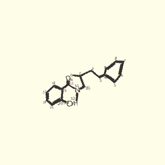 CC(CCc1ccccc1)CN(C)C(=O)c1ccccc1O